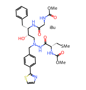 CC[C@H](C)[C@H](NC(=O)OC)C(=O)N[C@@H](Cc1ccccc1)[C@@H](O)CN(Cc1ccc(-c2nccs2)cc1)NC(=O)[C@H](CSC)NC(=O)OC